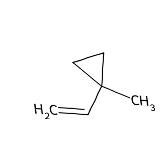 C=CC1(C)CC1